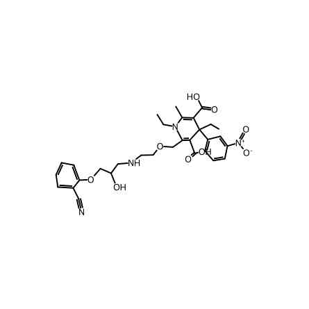 CCN1C(C)=C(C(=O)O)C(CC)(c2cccc([N+](=O)[O-])c2)C(C(=O)O)=C1COCCNCC(O)COc1ccccc1C#N